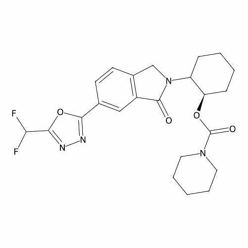 O=C(O[C@@H]1CCCCC1N1Cc2ccc(-c3nnc(C(F)F)o3)cc2C1=O)N1CCCCC1